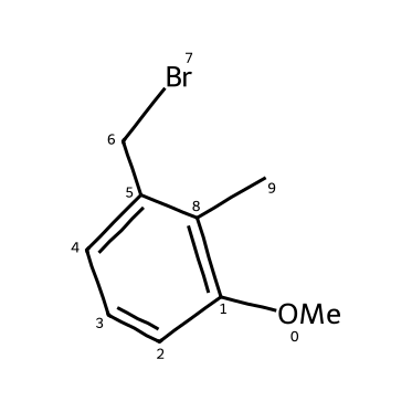 COc1cccc(CBr)c1C